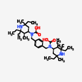 CCC1(C)CC(N(Cc2ccc(CN(C(=O)O)C3CC(C)(CC)NC(C)(CC)C3C)cc2)C(=O)O)C(C)C(C)(CC)N1